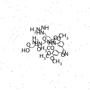 COc1ccc(-c2cnoc2-c2cc(OC)c(OC)c(OC)c2)cc1NC(=O)C(CCCNC(=N)N)NC(=O)CNC(=O)C(N)CC(=O)O